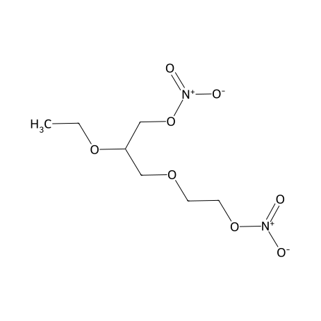 CCOC(COCCO[N+](=O)[O-])CO[N+](=O)[O-]